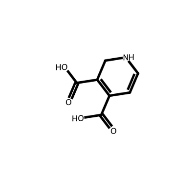 O=C(O)C1=C(C(=O)O)CNC=C1